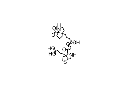 O=C(OOB(O)CCCC12CCCC1(C(=O)O)NCC2)C1NCC2SCCC21CCCB(O)O